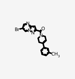 Cc1cccc(C2=CCN(C(=O)c3cc4ncc(Br)cn4n3)CC2)c1